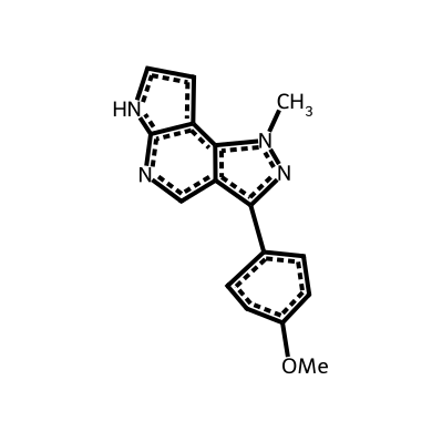 COc1ccc(-c2nn(C)c3c2cnc2[nH]ccc23)cc1